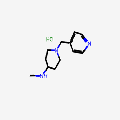 CNC1CCN(Cc2ccncc2)CC1.Cl